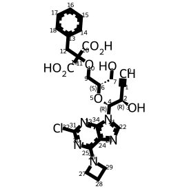 C#C[C@@H](O)[C@@H](O[C@@H](CO)COC(Cc1ccccc1)(C(=O)O)C(=O)O)n1cnc2c(N3CCC3)nc(Cl)nc21